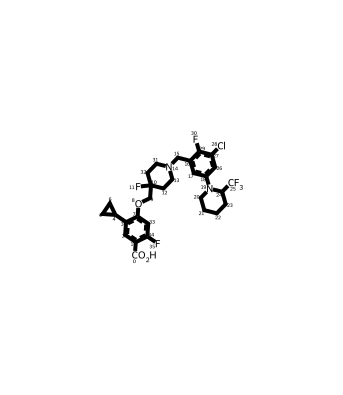 O=C(O)c1cc(C2CC2)c(OCC2(F)CCN(Cc3cc(N4CCCCC4C(F)(F)F)cc(Cl)c3F)CC2)cc1F